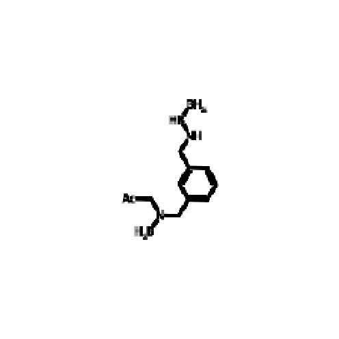 BBNCc1cccc(CN(B)CC(C)=O)c1